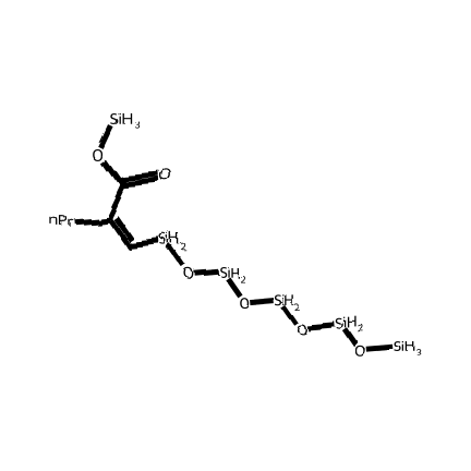 CCCC(=C[SiH2]O[SiH2]O[SiH2]O[SiH2]O[SiH3])C(=O)O[SiH3]